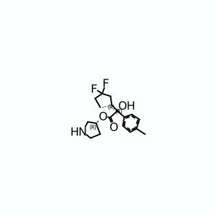 Cc1ccc([C@@](O)(C(=O)O[C@@H]2CCNC2)[C@@H]2CCC(F)(F)C2)cc1